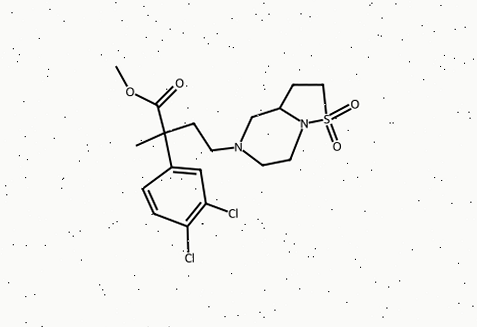 COC(=O)C(C)(CCN1CCN2C(CCS2(=O)=O)C1)c1ccc(Cl)c(Cl)c1